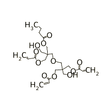 C=CC(=O)OCC(CO)(COCC(CO)(COC(=O)C=C)COC(=O)CCC)COC(=O)C=C